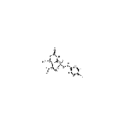 COC(=O)C1C(O)=CC(=O)CC1C(C)(C)CSc1ccc(C)cc1